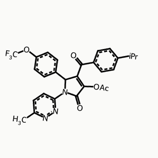 CC(=O)OC1=C(C(=O)c2ccc(C(C)C)cc2)C(c2ccc(OC(F)(F)F)cc2)N(c2ccc(C)nn2)C1=O